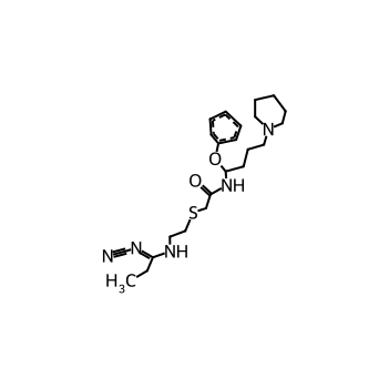 CCC(=NC#N)NCCSCC(=O)NC(CCCN1CCCCC1)Oc1ccccc1